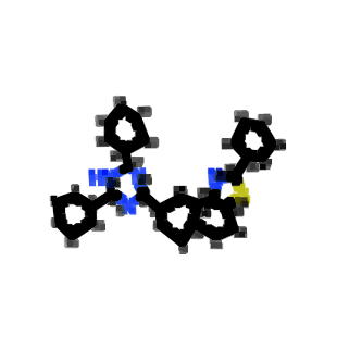 c1ccc(C2=NC(c3ccc4ccc5sc(-c6ccccc6)nc5c4c3)=NC(c3ccccc3)N2)cc1